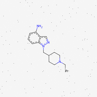 C[C](C)CN1CCC(Cn2ncc3c(N)cccc32)CC1